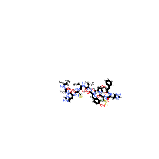 CCC(C)[C@H](NC(=O)[C@H](Cc1c[nH]cn1)NC(=O)[C@H](CS)NC(=O)[C@H](CC(C)C)NC(=O)[C@H](CC(=O)O)NC(=O)[C@H](Cc1ccc(O)c(Cl)c1)NC(=O)[C@H]1C[C@@H](O)CN1C(=O)[C@H](CS)NC(=O)[C@@H](Cc1c[nH]cn1)NC(=O)[C@H](Cc1ccccc1)NC)C(=O)N[C@@H](CC(C)C)C(C)=O